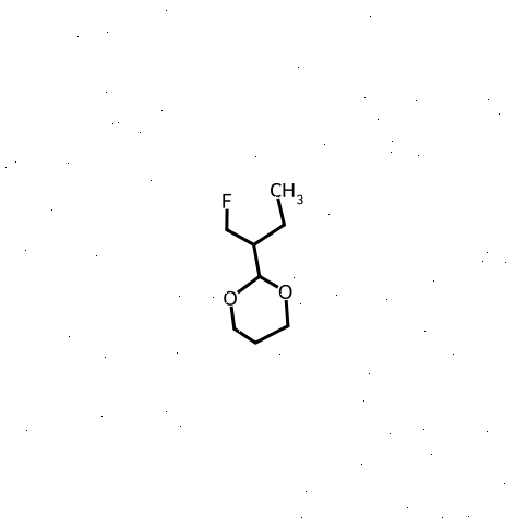 CCC(CF)C1OCCCO1